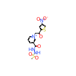 CS(=O)(=O)NNC(=O)c1ccc[n+](CC(=O)c2cc([N+](=O)[O-])cs2)c1